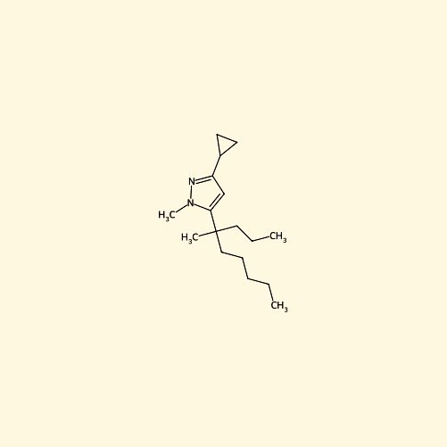 CCCCCC(C)(CCC)c1cc(C2CC2)nn1C